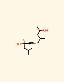 CC(C)CC(C)(O)C#CCC(C)CC(C)O